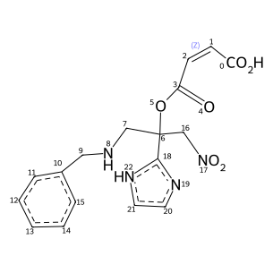 O=C(O)/C=C\C(=O)OC(CNCc1ccccc1)(C[N+](=O)[O-])c1ncc[nH]1